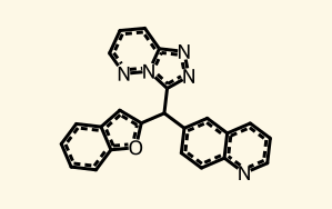 c1cnc2ccc(C(c3cc4ccccc4o3)c3nnc4cccnn34)cc2c1